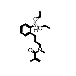 C=C(C)C(=O)N(C)CCCc1ccccc1[SiH](OCC)OCC